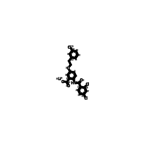 O=C(Nc1ccc(OCCc2cccc(Cl)c2)cc1C(=O)[O-])c1ccc(Cl)cc1Cl.[Li+]